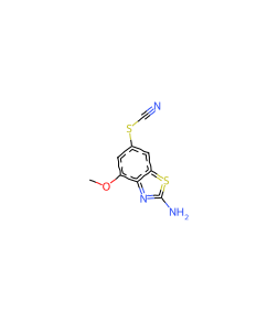 COc1cc(SC#N)cc2sc(N)nc12